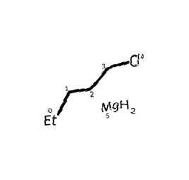 [CH2]CCCCCl.[MgH2]